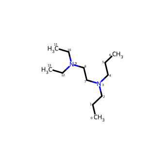 CCCN(CCC)CCN(CC)CC